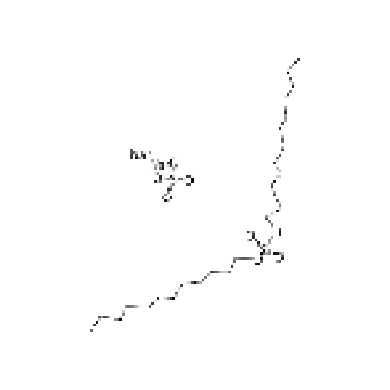 CCCCCCCCCCCCOS(=O)(=O)OCCCCCCCCCCCC.O=S(=O)([O-])[O-].[Na+].[Na+]